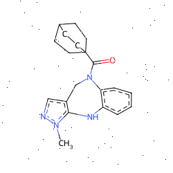 Cn1ncc2c1Nc1ccccc1N(C(=O)C13CCC(CC1)CC3)C2